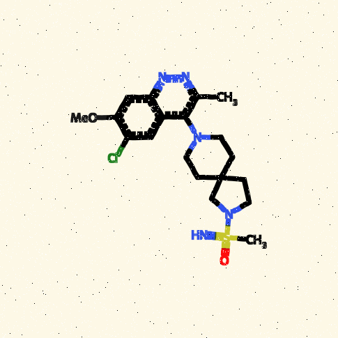 COc1cc2nnc(C)c(N3CCC4(CC3)CCN(S(C)(=N)=O)C4)c2cc1Cl